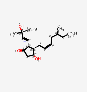 CCCCC[C@@](C)(O)/C=C/[C@H]1C(=O)C[C@H](O)[C@@H]1C/C=C\CC(C)CC(=O)O